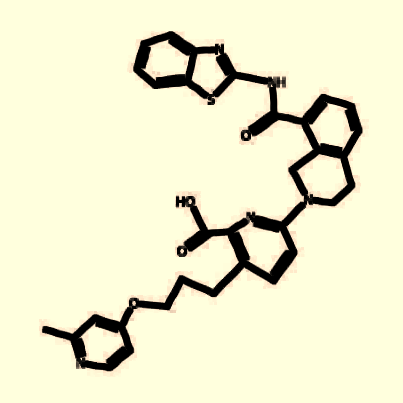 Cc1cc(OCCCc2ccc(N3CCc4cccc(C(=O)Nc5nc6ccccc6s5)c4C3)nc2C(=O)O)ccn1